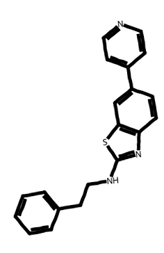 c1ccc(CCNc2nc3ccc(-c4ccncc4)cc3s2)cc1